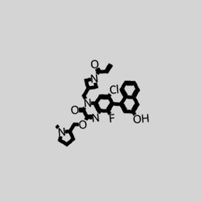 C=CC(=O)N1CC(Cn2c(=O)c(OCC3CCCN3C)nc3c(F)c(-c4cc(O)cc5ccccc45)c(Cl)cc32)C1